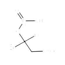 CCCCCCCC(CC)(CC)O[PH](=O)O